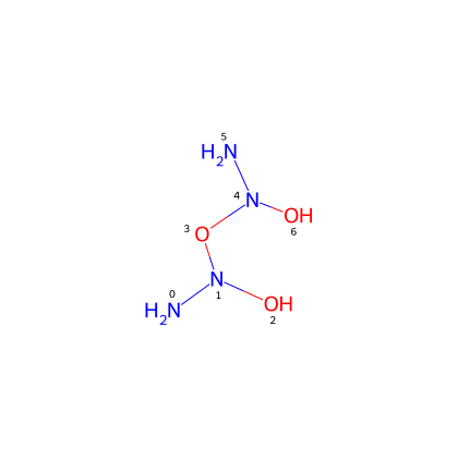 NN(O)ON(N)O